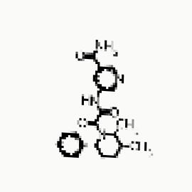 C[C@H]1CC[C@H](c2ccccc2)N(C(=O)C(=O)Nc2cncc(C(N)=O)c2)[C@H]1C